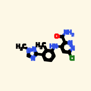 Cc1c(Nc2cc(Cl)nnc2C(N)=O)cccc1-c1ncn(C)n1